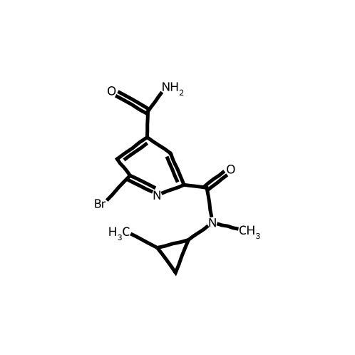 CC1CC1N(C)C(=O)c1cc(C(N)=O)cc(Br)n1